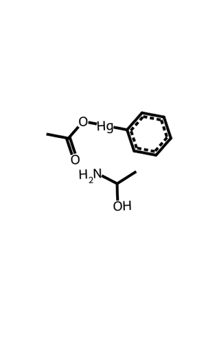 CC(=O)[O][Hg][c]1ccccc1.CC(N)O